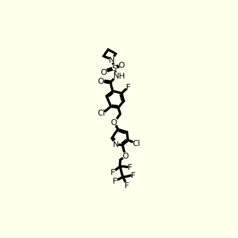 O=C(NS(=O)(=O)N1CCC1)c1cc(Cl)c(COc2cnc(OCC(F)(F)C(F)(F)F)c(Cl)c2)cc1F